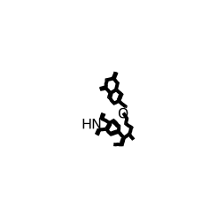 C=C1CC(=C)C2=CCC(COCCCC(C)/C(=C/C)c3ccc4c(=C)[nH]c(=C)c4c3)=CC2C1